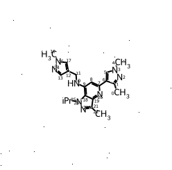 Cc1nn(C)cc1-c1cc(NCc2cnn(C)c2)c2c(n1)c(C)nn2C(C)C